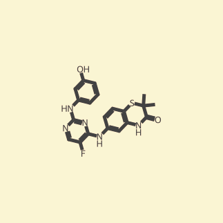 CC1(C)Sc2ccc(Nc3nc(Nc4cccc(O)c4)ncc3F)cc2NC1=O